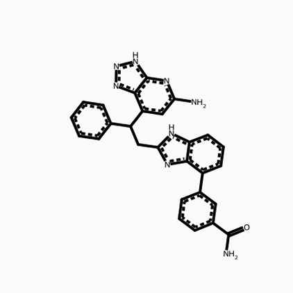 NC(=O)c1cccc(-c2cccc3[nH]c(CC(c4ccccc4)c4cc(N)nc5[nH]nnc45)nc23)c1